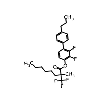 CCCCCCC(C)(C(=O)Oc1ccc(-c2ccc(CCC)cc2)c(F)c1F)C(F)(F)F